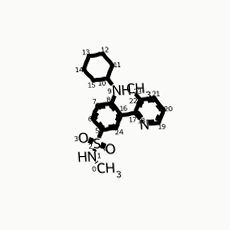 CNS(=O)(=O)c1ccc(NC2CCCCC2)c(-c2ncccc2C)c1